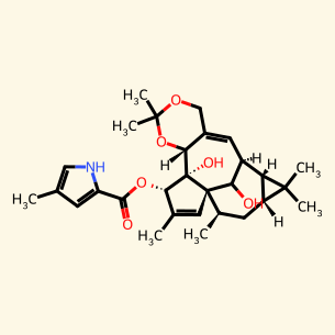 CC1=C[C@]23C(O)[C@@H](C=C4COC(C)(C)O[C@H]4[C@]2(O)[C@H]1OC(=O)c1cc(C)c[nH]1)[C@H]1[C@@H](C[C@H]3C)C1(C)C